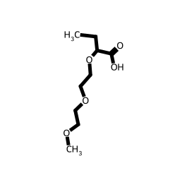 CCC(OCCOCCOC)C(=O)O